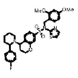 COc1ccc(CN(c2nccs2)S(=O)(=O)c2ccc3c(c2)OCCC3N2CCCCC2c2ccc(F)cc2)c(OC)c1